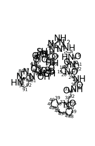 Nc1nc(NCCNC(=O)[C@@H]2CCCN2C(=O)[C@@H]2CCCN2C(=O)CNC(=O)CNC(=O)CCC(=O)N2Cc3ccccc3C#Cc3ccccc32)nc2c1ncn2[C@@H]1O[C@@H]2COP(=O)(S)O[C@@H]3[C@@H](COP(=O)(S)O[C@@H]1[C@@H]2O)OC(n1cc2c4c(ncnc41)NCCC2)[C@@H]3O